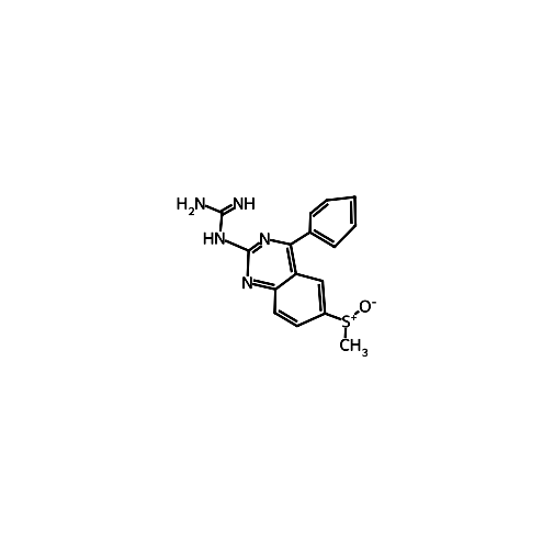 C[S+]([O-])c1ccc2nc(NC(=N)N)nc(-c3ccccc3)c2c1